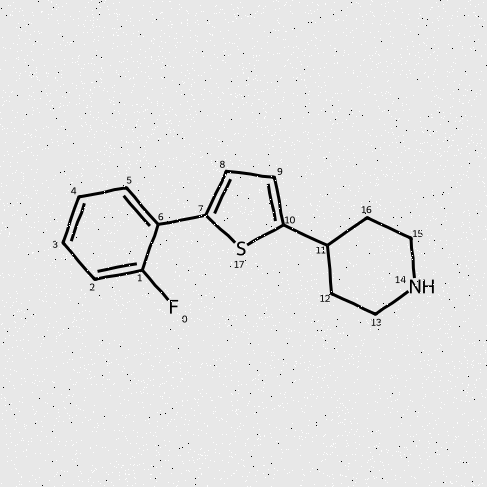 Fc1ccccc1-c1ccc(C2CCNCC2)s1